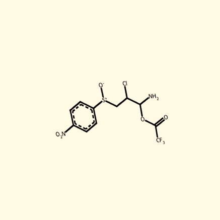 NC(OC(=O)C(F)(F)F)C(Cl)C[S+]([O-])c1ccc([N+](=O)[O-])cc1